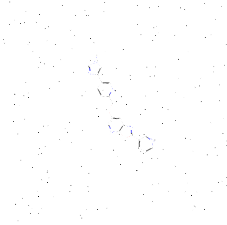 Cn1cnc(-c2ccc(COc3cnc4oc(-c5cccnc5)nc4c3)nc2)c1